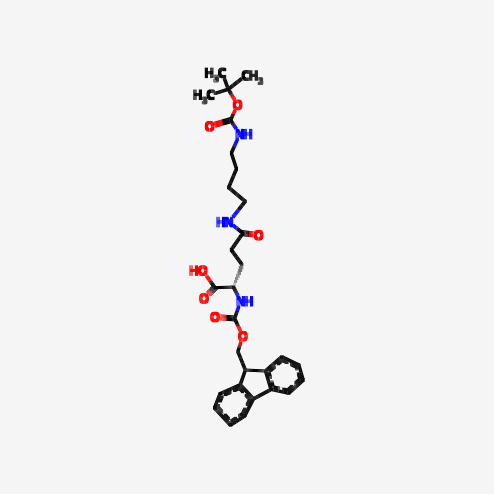 CC(C)(C)OC(=O)NCCCCNC(=O)CC[C@H](NC(=O)OCC1c2ccccc2-c2ccccc21)C(=O)O